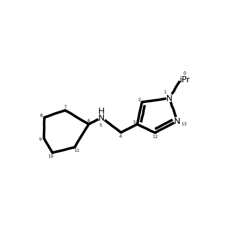 CC(C)n1cc(CNC2CCCCC2)cn1